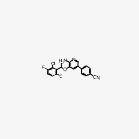 CC(Oc1cc(-c2ccc(C#N)cc2)cnc1N)c1c(Cl)ccc(F)c1Cl